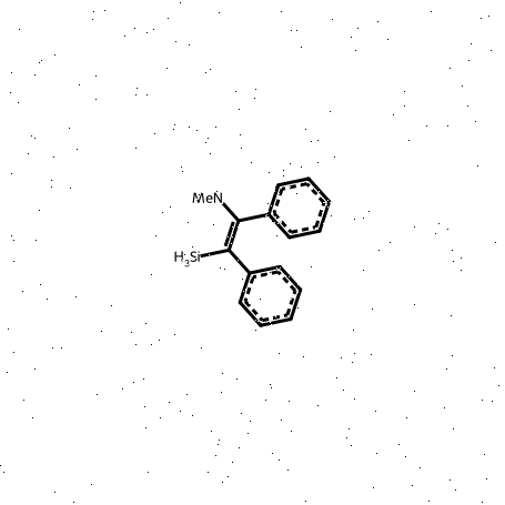 CNC(=C([SiH3])c1ccccc1)c1ccccc1